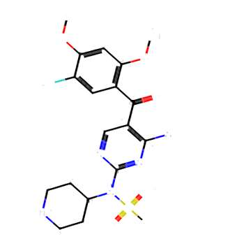 COc1cc(OC)c(C(=O)c2cnc(N(C3CCNCC3)S(C)(=O)=O)nc2N)cc1F